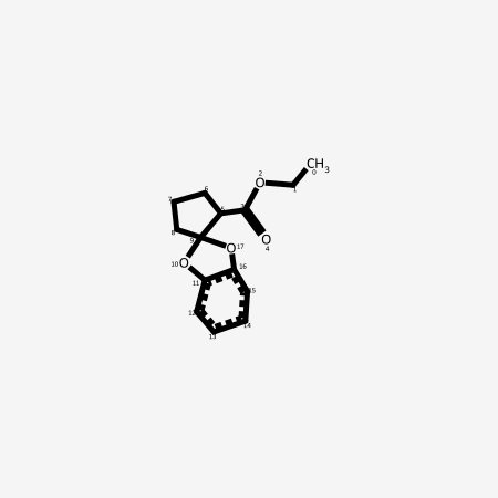 CCOC(=O)C1CCCC12Oc1ccccc1O2